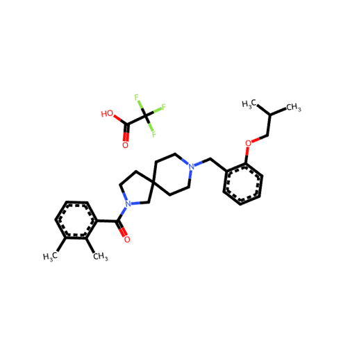 Cc1cccc(C(=O)N2CCC3(CCN(Cc4ccccc4OCC(C)C)CC3)C2)c1C.O=C(O)C(F)(F)F